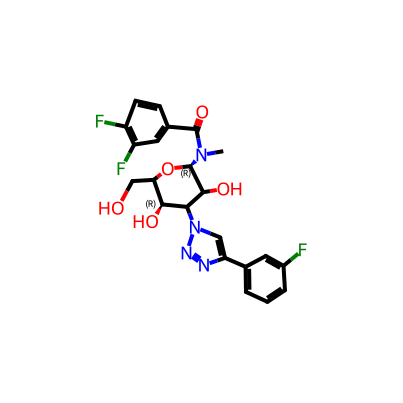 CN(C(=O)c1ccc(F)c(F)c1)[C@@H]1OC(CO)[C@H](O)C(n2cc(-c3cccc(F)c3)nn2)C1O